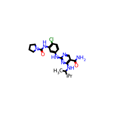 CC(C)C(C)Nc1nc(Nc2ccc(Cl)c(NC(=O)N3CCCC3)c2)ncc1C(N)=O